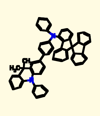 CC1(C)c2ccccc2N(c2ccccc2)c2ccc(-c3ccc(N(c4ccccc4)c4cccc5c4-c4ccccc4C54c5ccccc5-c5ccccc54)cc3)cc21